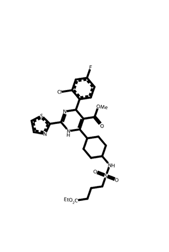 CCOC(=O)CCCS(=O)(=O)NC1CCC(C2=C(C(=O)OC)C(c3ccc(F)cc3Cl)N=C(c3nccs3)N2)CC1